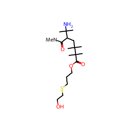 CNC(=O)C(CC(C)(C)C(C)(C)C(=O)OCCCSCCO)C(C)(C)N